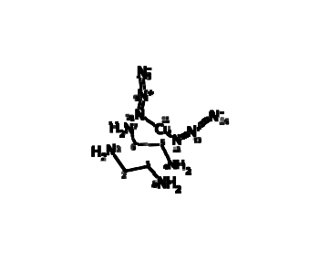 NCCN.NCCN.[N-]=[N+]=[N][Cu][N]=[N+]=[N-]